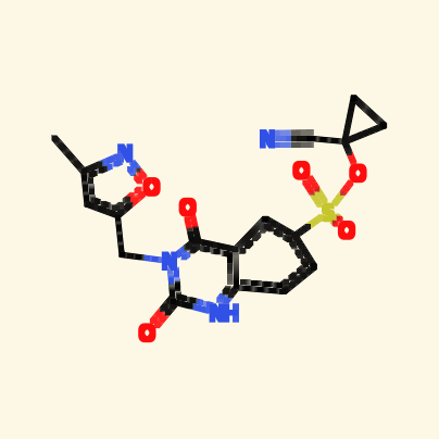 Cc1cc(Cn2c(=O)[nH]c3ccc(S(=O)(=O)OC4(C#N)CC4)cc3c2=O)on1